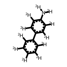 [2H]c1c([2H])c([2H])c(-c2c([2H])c([2H])c(N([2H])[2H])c([2H])c2[2H])c([2H])c1[2H]